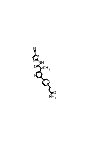 CC(C(=O)Nc1ncc(C#N)s1)c1cncc(-c2ccc(C=CC(N)=O)nc2)c1